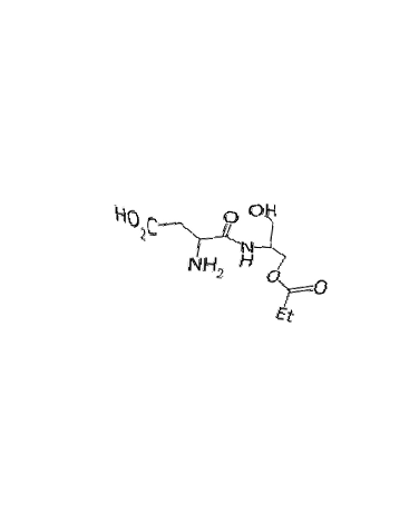 CCC(=O)OCC(CO)NC(=O)C(N)CC(=O)O